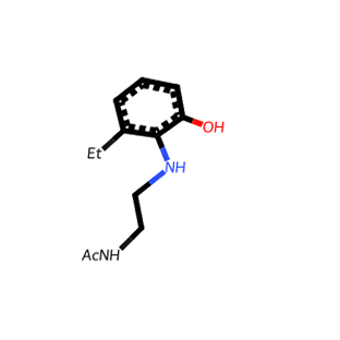 CCc1cccc(O)c1NCCNC(C)=O